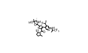 CCC1CCC(C)N1C(=O)c1nc(C(=O)N[C@@H](C)C(C)(C)O)sc1-c1cnc(N[C@@H](C)C(F)(F)F)cc1C(F)F